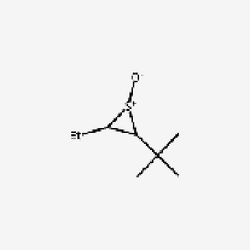 CCC1C(C(C)(C)C)[S+]1[O-]